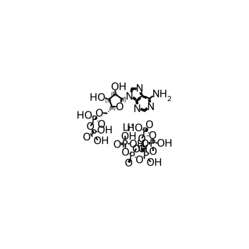 Nc1ncnc2c1ncn2[C@@H]1O[C@H](COP(=O)(O)OP(=O)(O)O)[C@@H](O)[C@H]1O.O=P([O-])(O)OP(=O)(O)OP(=O)(O)OP(=O)(O)OP(=O)(O)O.[Li+]